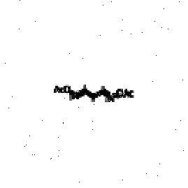 CC(=O)O/N=C/C/C=N/OC(C)=O